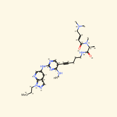 CCCNc1nc(Nc2cnc3c(cnn3CCOC)c2)ncc1C#CCCCNC(=O)[C@H](C)N(C)C(=O)/C=C/CN(C)C